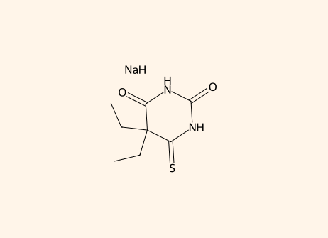 CCC1(CC)C(=O)NC(=O)NC1=S.[NaH]